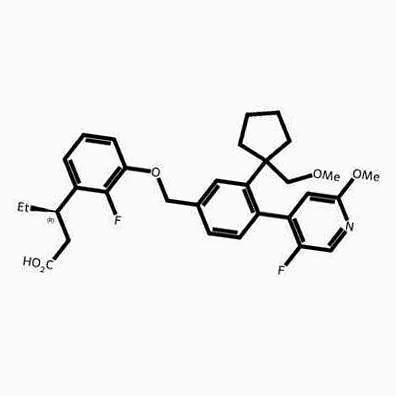 CC[C@H](CC(=O)O)c1cccc(OCc2ccc(-c3cc(OC)ncc3F)c(C3(COC)CCCC3)c2)c1F